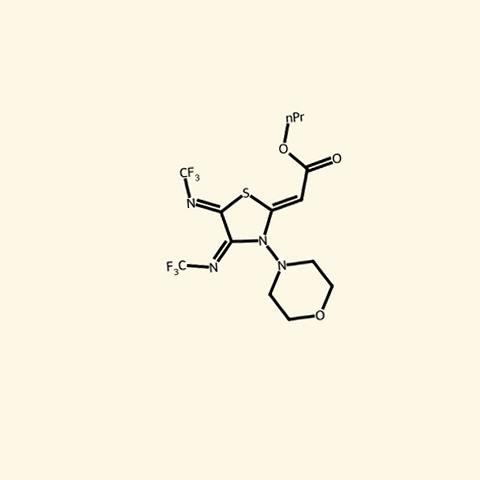 CCCOC(=O)C=C1SC(=NC(F)(F)F)C(=NC(F)(F)F)N1N1CCOCC1